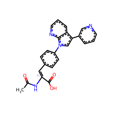 CC(=O)N/C(=C/c1ccc(-n2cc(-c3cccnc3)c3cccnc32)cc1)C(=O)O